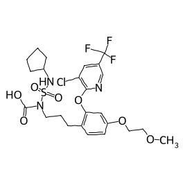 COCCOc1ccc(CCCN(C(=O)O)S(=O)(=O)NC2CCCC2)c(Oc2ncc(C(F)(F)F)cc2Cl)c1